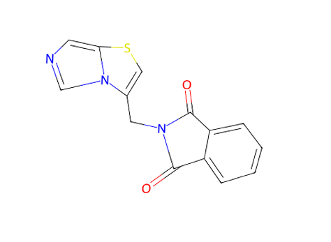 O=C1c2ccccc2C(=O)N1Cc1csc2cncn12